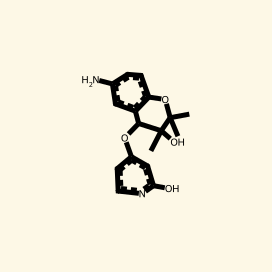 CC1(C)Oc2ccc(N)cc2C(Oc2ccnc(O)c2)C1(C)O